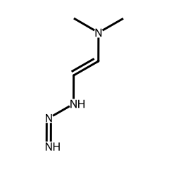 CN(C)/C=C/NN=N